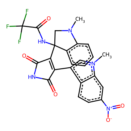 CN1CC(NC(=O)C(F)(F)F)(C2=C(c3cn(C)c4cc([N+](=O)[O-])ccc34)C(=O)NC2=O)c2ccccc21